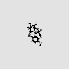 COc1ccc(Br)c([C@@H]2N3C(=O)C4(C)SC3(C[C@]2(C)C#N)C(=O)N4C)c1